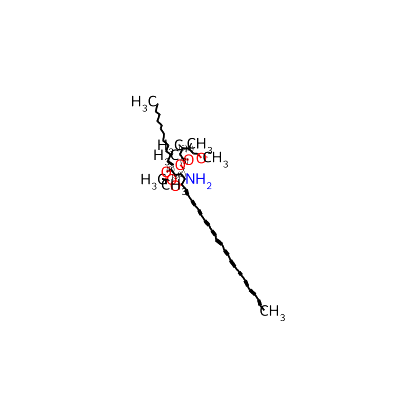 CC#CC#CC#CC#CC#CC#CC#CC#CC#CC#CC#CC#CC(=O)C(N)[C@@H](CO[C@H]1OC(COC)[C@H](C)[C@H](C)C1C)[C@@H]1OC(C)(C)O[C@@H]1C=CCCCCCCCCCCCC